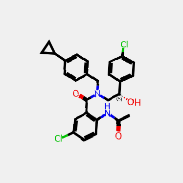 CC(=O)Nc1ccc(Cl)cc1C(=O)N(Cc1ccc(C2CC2)cc1)C[C@@H](O)c1ccc(Cl)cc1